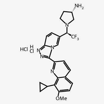 COc1ccc2ccc(-c3nnc4ccc([C@@H](N5CC[C@H](N)C5)C(F)(F)F)cn34)nc2c1C1CC1.Cl.Cl